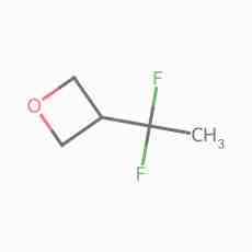 CC(F)(F)C1COC1